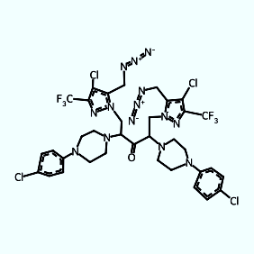 [N-]=[N+]=NCc1c(Cl)c(C(F)(F)F)nn1CC(C(=O)C(Cn1nc(C(F)(F)F)c(Cl)c1CN=[N+]=[N-])N1CCN(c2ccc(Cl)cc2)CC1)N1CCN(c2ccc(Cl)cc2)CC1